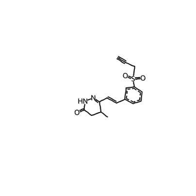 C#CCS(=O)(=O)c1cccc(C=CC2=NNC(=O)CC2C)c1